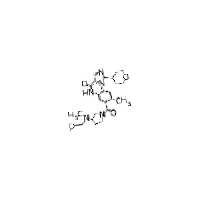 Cc1cc2c(cc1C(=O)N1CC[C@@H](N(C)CC3CC3)C1)[nH]c(=O)c1cnc(C3CCOCC3)n12